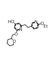 CCOc1ccc(CCc2cc(O)cc(OCC3CCCCO3)n2)cn1